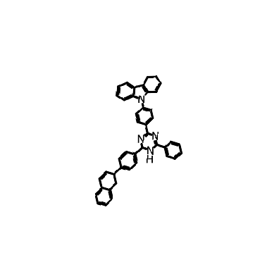 C1=Cc2c(c3ccccc3n2-c2ccc(C3=NC(c4ccc(C5C=Cc6ccccc6C5)cc4)NC(c4ccccc4)=N3)cc2)CC1